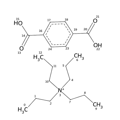 CCC[N+](CCC)(CCC)CCC.O=C(O)c1ccc(C(=O)O)cc1